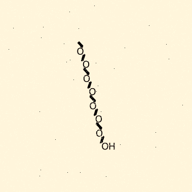 CCOCCOCCOCCOCCOCCOCCOCCO